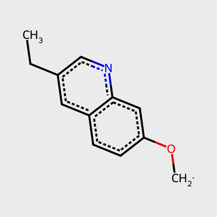 [CH2]Oc1ccc2cc(CC)cnc2c1